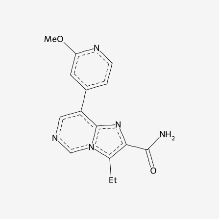 CCc1c(C(N)=O)nc2c(-c3ccnc(OC)c3)cncn12